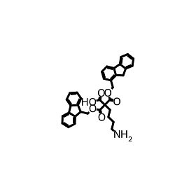 NCCCCC(C(=O)O)(C(=O)OCc1cccc2c1Cc1ccccc1-2)C(=O)OCC1c2ccccc2-c2ccccc21